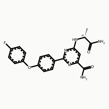 C[C@@H](Nc1cc(C(N)=O)nc(-c2ccc(Oc3ccc(F)cc3)cc2)n1)C(N)=O